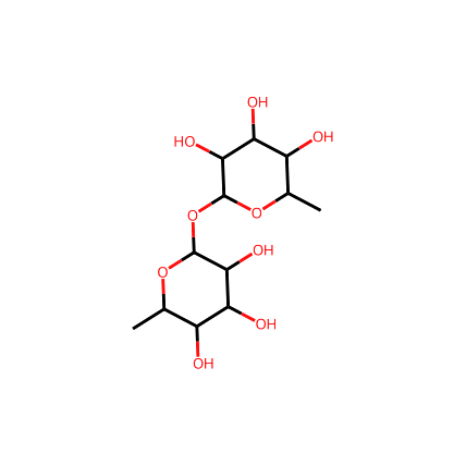 CC1OC(OC2OC(C)C(O)C(O)C2O)C(O)C(O)C1O